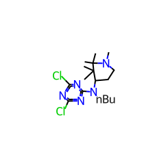 CCCCN(c1nc(Cl)nc(Cl)n1)C1CCN(C)C(C)(C)C1(C)C